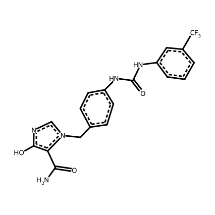 NC(=O)c1c(O)ncn1Cc1ccc(NC(=O)Nc2cccc(C(F)(F)F)c2)cc1